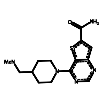 CNCC1CCN(c2ncnc3cc(C(N)=O)sc23)CC1